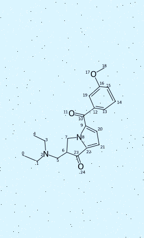 CCN(CC)CC1Cn2c(C(=O)c3cccc(OC)c3)ccc2C1=O